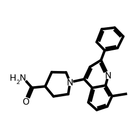 Cc1cccc2c(N3CCC(C(N)=O)CC3)cc(-c3ccccc3)nc12